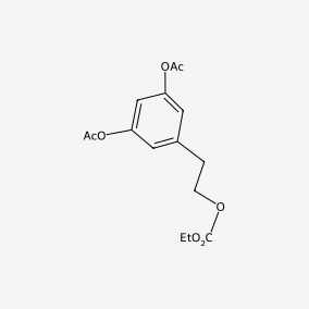 CCOC(=O)OCCc1cc(OC(C)=O)cc(OC(C)=O)c1